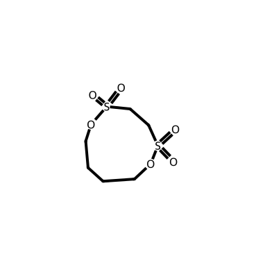 O=S1(=O)CCS(=O)(=O)OCCCCO1